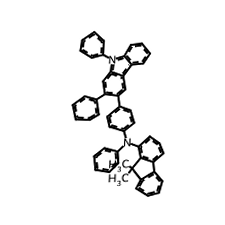 CC1(C)c2ccccc2-c2cccc(N(c3ccccc3)c3ccc(-c4cc5c6ccccc6n(-c6ccccc6)c5cc4-c4ccccc4)cc3)c21